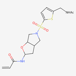 C=CC(=O)NC1CC2CN(S(=O)(=O)c3ccc(CNC(C)=O)s3)CC2O1